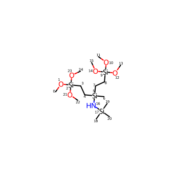 CO[Si](CC[Si](C)(CC[Si](OC)(OC)OC)N[Si](C)(C)C)(OC)OC